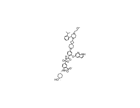 COCCN1CCN(C2CC3(CCN(c4ccc(C(=O)NS(=O)(=O)c5ccc(NC[C@H]6CC[C@](C)(O)CC6)c([N+](=O)[O-])c5)c(Oc5cnc6[nH]ccc6c5)c4)CC3)C2)C(c2ccccc2C(C)C)C1